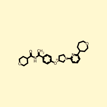 C=C(NC(=O)C1CCOCC1)c1ccc(O[C@@H]2CCN(c3cccc(C4CCCOCC4)n3)C2)cc1